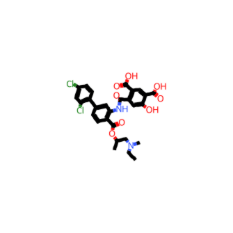 CCN(C)CC(C)OC(=O)c1ccc(-c2ccc(Cl)cc2Cl)cc1NC(=O)c1cc(O)c(C(=O)O)cc1C(=O)O